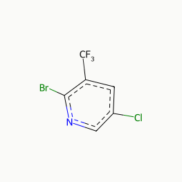 FC(F)(F)c1cc(Cl)cnc1Br